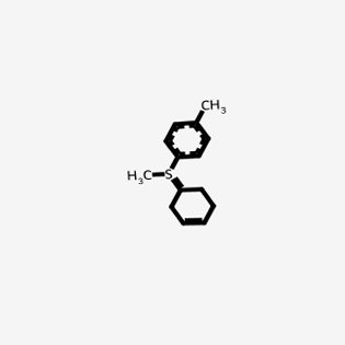 Cc1ccc(S(C)=C2CC=CCC2)cc1